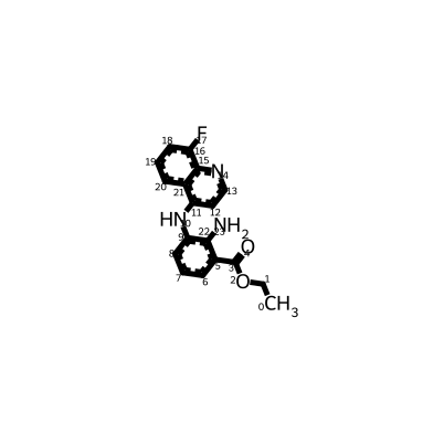 CCOC(=O)c1cccc(Nc2ccnc3c(F)cccc23)c1N